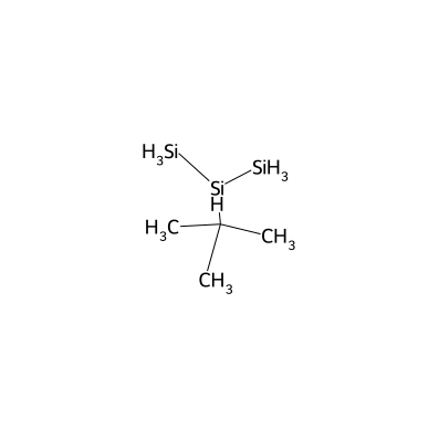 CC(C)(C)[SiH]([SiH3])[SiH3]